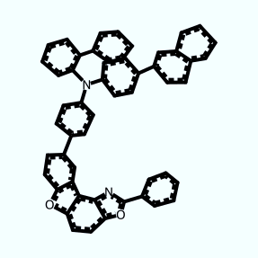 c1ccc(-c2nc3c(ccc4oc5ccc(-c6ccc(N(c7ccc(-c8ccc9ccccc9c8)cc7)c7ccccc7-c7ccccc7)cc6)cc5c43)o2)cc1